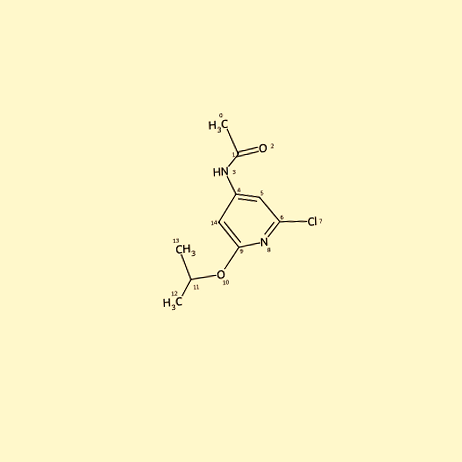 CC(=O)Nc1cc(Cl)nc(OC(C)C)c1